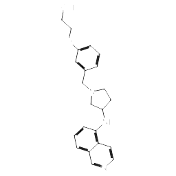 OCCOc1cccc(CN2CCC(Nc3cccc4cnccc34)C2)c1